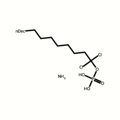 CCCCCCCCCCCCCCCCCC(Cl)(Cl)OP(=O)(O)O.N